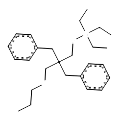 CCCOCC(CO[Si](CC)(CC)CC)(Cc1ccccc1)Cc1ccccc1